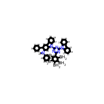 Bc1c(B)c(B)c(-c2nc(-n3c4ccccc4c4ccccc43)nc(-n3c4ccccc4c4cc(-c5ccccc5)c(N(C)c5ccccc5)cc43)n2)c(B)c1B